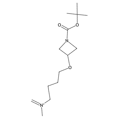 C=[N+](C)CCCCOC1CN(C(=O)OC(C)(C)C)C1